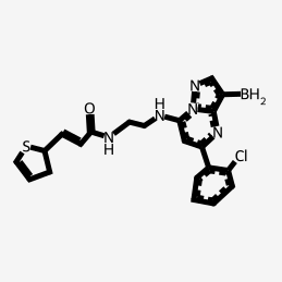 Bc1cnn2c(NCCNC(=O)/C=C/C3CC=CS3)cc(-c3ccccc3Cl)nc12